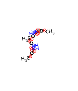 CCOc1ccc(S(=O)(=O)NC(=O)Nc2ccc(OC(C)Oc3ccc(NC(=O)NS(=O)(=O)c4ccc(OCC)cc4)cc3)cc2)cc1